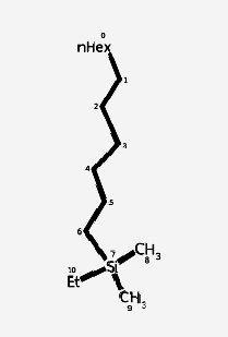 CCCCCCCCCCCC[Si](C)(C)CC